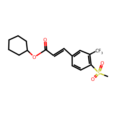 CS(=O)(=O)c1ccc(/C=C/C(=O)OC2CCCCC2)cc1C(F)(F)F